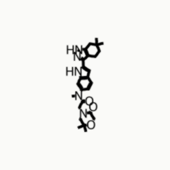 CN(C(=O)CN1CC(C)(C)OCC1=O)c1ccc2cc(-c3n[nH]c4c3CCC(C)(C)C4)[nH]c2c1